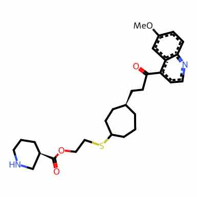 COc1ccc2nccc(C(=O)CC[C@H]3CCCC(SCCOC(=O)[C@@H]4CCCNC4)CC3)c2c1